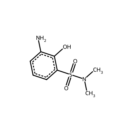 CN(C)S(=O)(=O)c1cccc(N)c1O